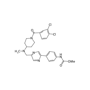 COC(=O)Nc1ccc(-c2cnc(CN(C)C3CCN(C(=O)c4ccc(Cl)c(Cl)c4)CC3)cn2)cc1